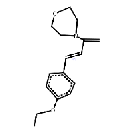 C=C(/C=C/c1ccc(OCC)cc1)N1CCOCC1